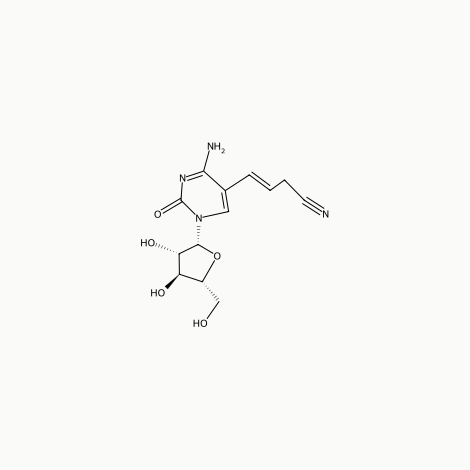 N#CC/C=C/c1cn([C@@H]2O[C@H](CO)[C@@H](O)[C@@H]2O)c(=O)nc1N